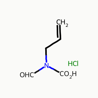 C=CCN(C=O)C(=O)O.Cl